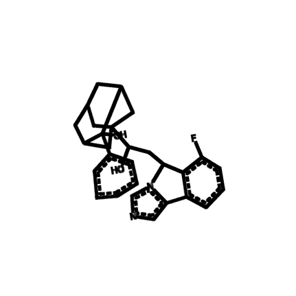 OC(CC1c2c(F)cccc2-c2cncn21)C12CC3CC(C1)C(O)(c1ccccc1)C(C3)C2